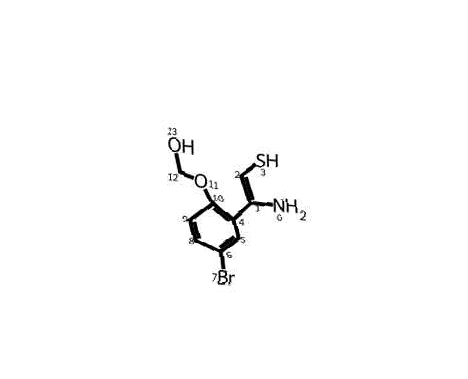 N/C(=C\S)c1cc(Br)ccc1OCO